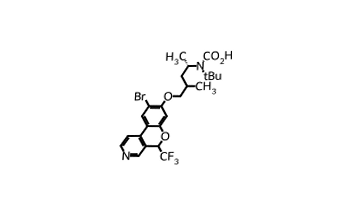 CC(COc1cc2c(cc1Br)-c1ccncc1C(C(F)(F)F)O2)C[C@H](C)N(C(=O)O)C(C)(C)C